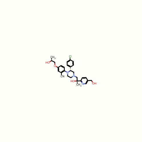 C[C@H](O)COc1ccc(N2CCN(C[C@@](C)(O)c3ccc(CO)cn3)C[C@H]2c2ccc(Cl)cc2)c(C#N)c1